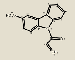 C=CC(=O)n1c2ccccc2c2cc(C(=O)O)ccc21